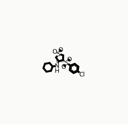 O=S1(=O)C[C@H](NC2CCCCC2)[C@@H](S(=O)(=O)c2ccc(Cl)cc2)C1